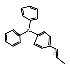 C/C=C/c1ccc(N(c2ccccc2)c2ccccc2)cc1